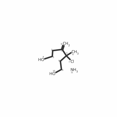 C=C(CCO)C(C)(Cl)CCO.N